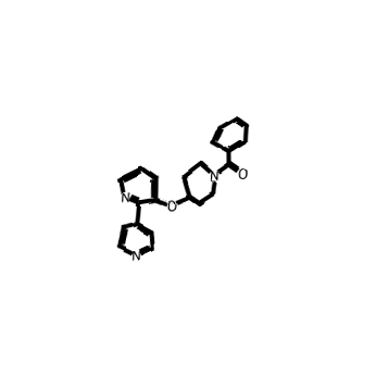 O=C(c1ccccc1)N1CCC(Oc2cccnc2-c2ccncc2)CC1